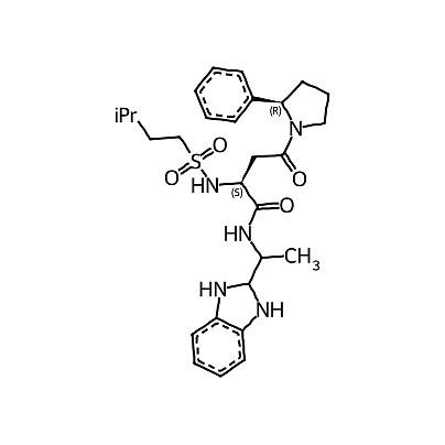 CC(C)CCS(=O)(=O)N[C@@H](CC(=O)N1CCC[C@@H]1c1ccccc1)C(=O)NC(C)C1Nc2ccccc2N1